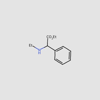 CCNC(C(=O)OCC)c1ccccc1